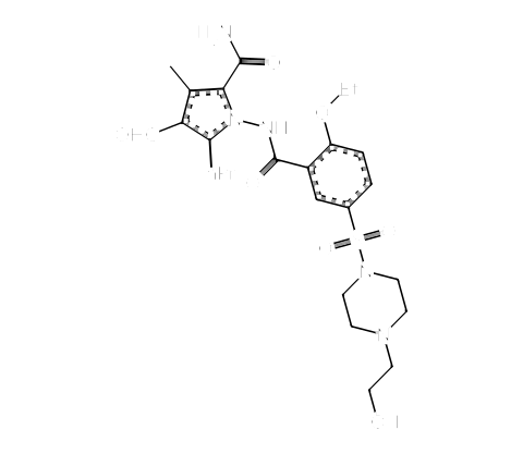 CCCc1c(C=O)c(C)c(C(N)=O)n1NC(=O)c1cc(S(=O)(=O)N2CCN(CCO)CC2)ccc1OCC